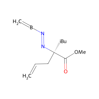 C=BN=N[C@](CC=C)(C(=O)OC)C(C)CC